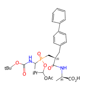 CC(=O)OC(OP(=O)(C[C@@H](Cc1ccc(-c2ccccc2)cc1)C(=O)N[C@H](C)C(=O)O)C(C)NC(=O)OC(C)(C)C)C(C)C